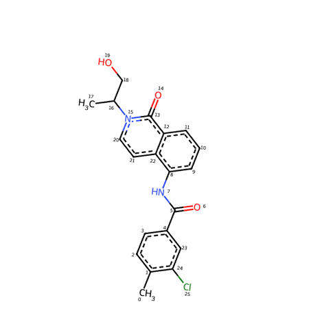 Cc1ccc(C(=O)Nc2cccc3c(=O)n(C(C)CO)ccc23)cc1Cl